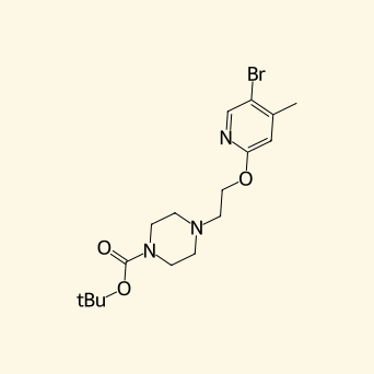 Cc1cc(OCCN2CCN(C(=O)OC(C)(C)C)CC2)ncc1Br